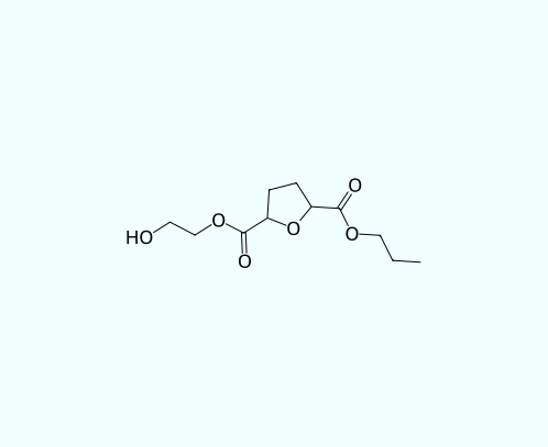 CCCOC(=O)C1CCC(C(=O)OCCO)O1